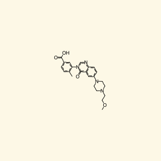 COCCN1CCN(c2ccc3ncn(-c4cc(C(=O)O)ccc4C)c(=O)c3c2)CC1